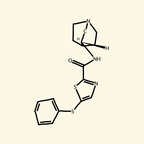 O=C(N[C@H]1CN2CCC1CC2)c1ncc(Sc2ccccc2)s1